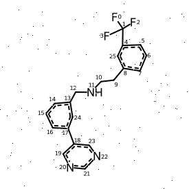 FC(F)(F)c1cccc(CCNCc2cccc(-c3cncnc3)c2)c1